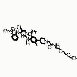 Cc1cc(Nc2ncc(Cl)c(Nc3ccccc3[S+]([O-])C(C)C)n2)c(OC(C)C)cc1C1CCN(CC(=O)NCCOCCOCC=O)CC1